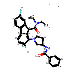 CCCCN(CC(F)(F)F)C(=O)C1c2cc(F)ccc2-c2ccc(F)c(N3CCC(NC(=O)c4ccccc4)C3)c21